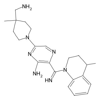 CC1CCN(C(=N)c2ncc(N3CCC(C)(CN)CC3)nc2N)c2ccccc21